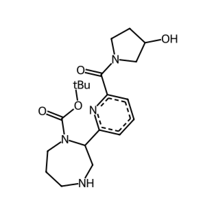 CC(C)(C)OC(=O)N1CCCNCC1c1cccc(C(=O)N2CCC(O)C2)n1